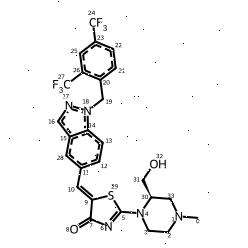 CN1CCN(C2=NC(=O)/C(=C/c3ccc4c(cnn4Cc4ccc(C(F)(F)F)cc4C(F)(F)F)c3)S2)[C@@H](CO)C1